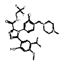 COc1cc(O)c(-c2nnc(C(=O)NCC(F)(F)F)n2-c2ccc(CN3CCN(C)CC3)c(Cl)c2)cc1C(C)C